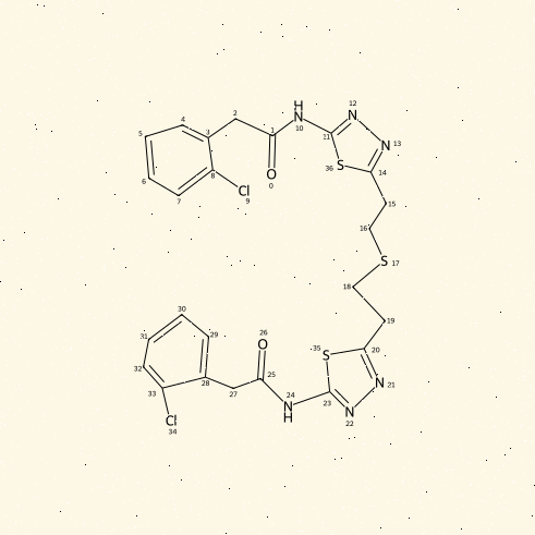 O=C(Cc1ccccc1Cl)Nc1nnc(CCSCCc2nnc(NC(=O)Cc3ccccc3Cl)s2)s1